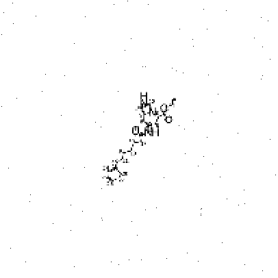 CCOC(=O)CC[C@@H](Cc1c[nH]cn1)NC(=O)CCCCCCc1ccccc1